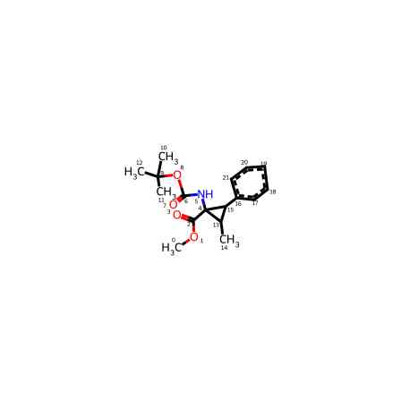 COC(=O)C1(NC(=O)OC(C)(C)C)C(C)C1c1ccccc1